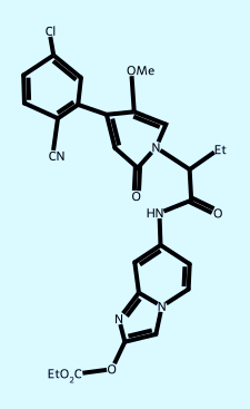 CCOC(=O)Oc1cn2ccc(NC(=O)C(CC)n3cc(OC)c(-c4cc(Cl)ccc4C#N)cc3=O)cc2n1